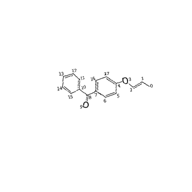 CC=COc1ccc(C(=O)c2ccccc2)cc1